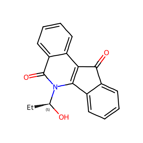 CC[C@H](O)n1c2c(c3ccccc3c1=O)C(=O)c1ccccc1-2